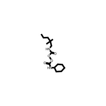 CCCC(C)(C)CNC(=O)OOC(=O)NC1CCCCC1